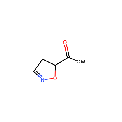 COC(=O)C1CC=NO1